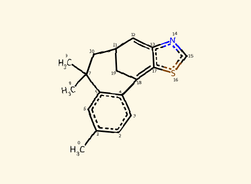 Cc1ccc2c(c1)C(C)(C)CC1C=c3ncsc3=C2C1